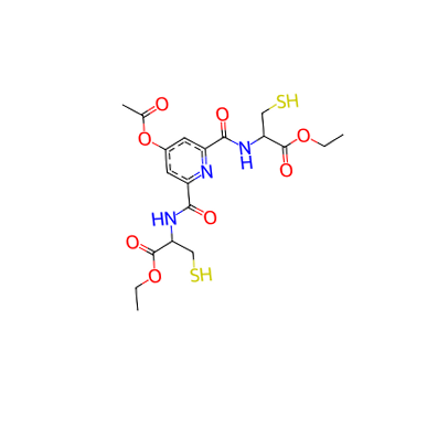 CCOC(=O)C(CS)NC(=O)c1cc(OC(C)=O)cc(C(=O)NC(CS)C(=O)OCC)n1